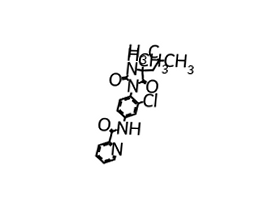 CC(C)CC1(C)NC(=O)N(c2ccc(NC(=O)c3ccccn3)cc2Cl)C1=O